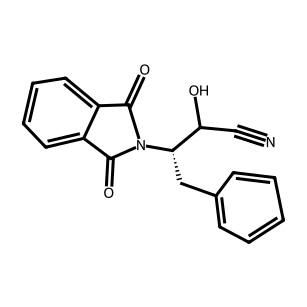 N#CC(O)[C@H](Cc1ccccc1)N1C(=O)c2ccccc2C1=O